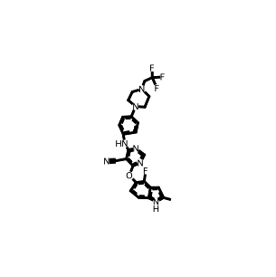 Cc1cc2c(F)c(Oc3ncnc(Nc4ccc(N5CCN(CC(F)(F)F)CC5)cc4)c3C#N)ccc2[nH]1